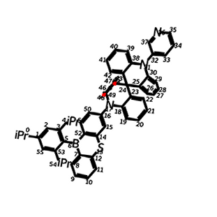 CC(C)c1cc(C(C)C)c(B2c3ccccc3Sc3cc(N4c5ccccc5C5(c6ccccc6N(c6cccnc6)c6ccccc65)c5ccccc54)ccc32)c(C(C)C)c1